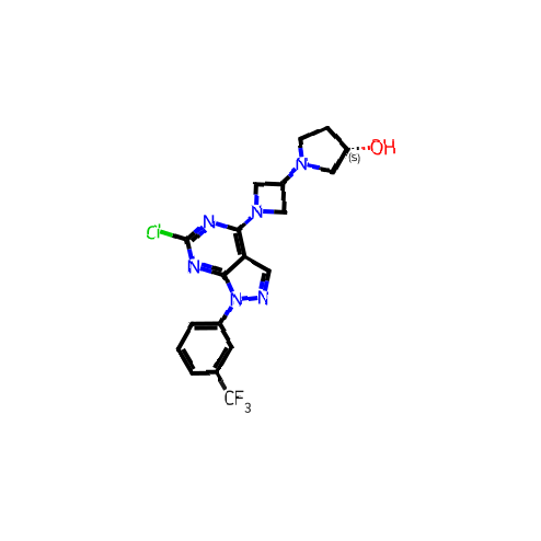 O[C@H]1CCN(C2CN(c3nc(Cl)nc4c3cnn4-c3cccc(C(F)(F)F)c3)C2)C1